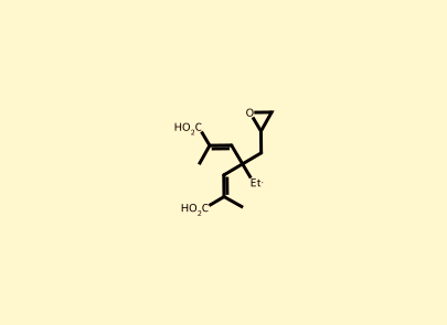 C[CH]C(C=C(C)C(=O)O)(C=C(C)C(=O)O)CC1CO1